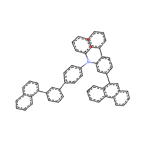 c1ccc(-c2ccc(-c3cc4ccccc4c4ccccc34)cc2N(c2ccccc2)c2ccc(-c3cccc(-c4cccc5ccccc45)c3)cc2)cc1